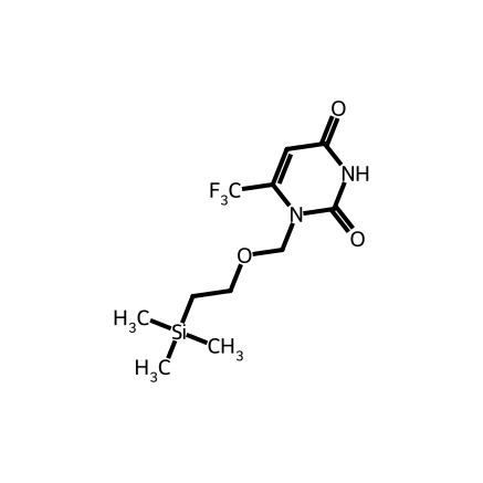 C[Si](C)(C)CCOCn1c(C(F)(F)F)cc(=O)[nH]c1=O